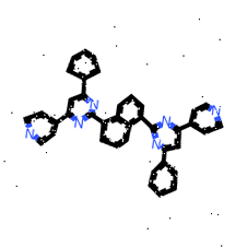 c1ccc(-c2cc(-c3ccncc3)nc(-c3cccc4c(-c5nc(-c6ccccc6)cc(-c6ccncc6)n5)cccc34)n2)cc1